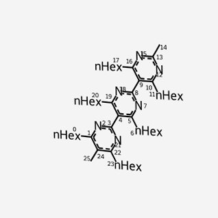 CCCCCCc1nc(-c2c(CCCCCC)nc(-c3c(CCCCCC)nc(C)nc3CCCCCC)nc2CCCCCC)nc(CCCCCC)c1C